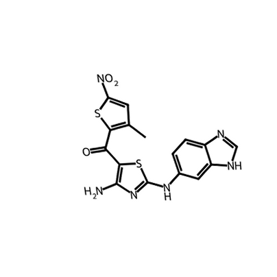 Cc1cc([N+](=O)[O-])sc1C(=O)c1sc(Nc2ccc3nc[nH]c3c2)nc1N